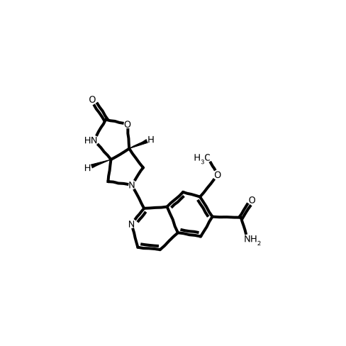 COc1cc2c(N3C[C@@H]4NC(=O)O[C@@H]4C3)nccc2cc1C(N)=O